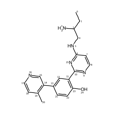 CCC(N)CNc1ccnc(-c2cc(-c3cnccc3C)ccc2O)n1